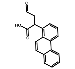 O=CCC(C(=O)O)c1cccc2c1ccc1ccccc12